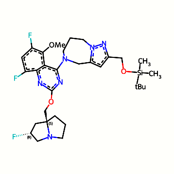 COc1c(F)cc(F)c2nc(OC[C@@]34CCCN3C[C@H](F)C4)nc(N3CCCn4nc(CO[Si](C)(C)C(C)(C)C)cc4C3)c12